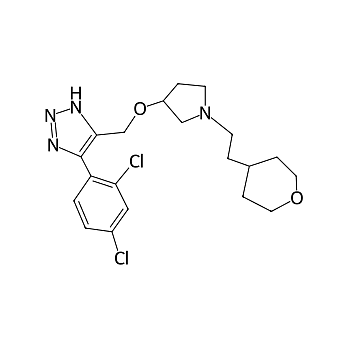 Clc1ccc(-c2nn[nH]c2COC2CCN(CCC3CCOCC3)C2)c(Cl)c1